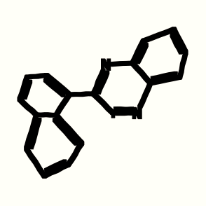 [c]1nc2ccccc2nc1-c1cccc2ccccc12